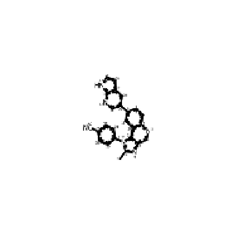 Cc1nc2cnc3ccc(-c4cnc5[nH]ccc5c4)cc3c2n1-c1ccc(C#N)cc1